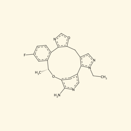 CCn1ncc2c1-c1cnc(N)c(c1)O[C@H](C)c1cc(F)ccc1-c1ncoc1C2